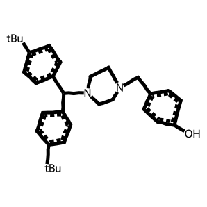 CC(C)(C)c1ccc(C(c2ccc(C(C)(C)C)cc2)N2CCN(Cc3ccc(O)cc3)CC2)cc1